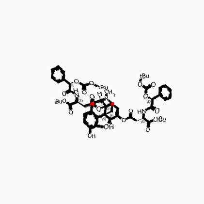 CC(C)COC(=O)[C@H](CC(=O)OC1=CC[C@@]2(OC(=O)C[C@H](NC(=O)[C@@H](OC(=O)OC(C)(C)C)c3ccccc3)C(=O)OCC(C)C)[C@H]3Cc4ccc(O)c5c4[C@@]2(CCN3C)[C@H]1O5)NC(=O)[C@@H](OC(=O)OC(C)(C)C)c1ccccc1